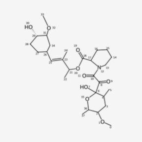 COC1CC(C)C(O)(C(=O)C(=O)N2CCCCC2C(=O)OC(C)/C(C)=C/C2CC[C@H](O)C(OC)C2)OC1C